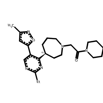 CCc1ncc(-c2cc(C)no2)c([C@H]2CCCN(CC(=O)N3CCCCC3)CC2)n1